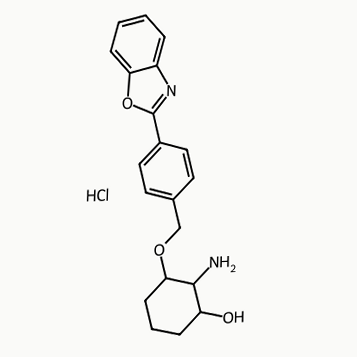 Cl.NC1C(O)CCCC1OCc1ccc(-c2nc3ccccc3o2)cc1